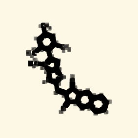 Cc1cc(C)c(-c2cc3sc(C=C4C(=O)c5cc6ccccc6cc5C4=O)nc3n2C)c(C)c1